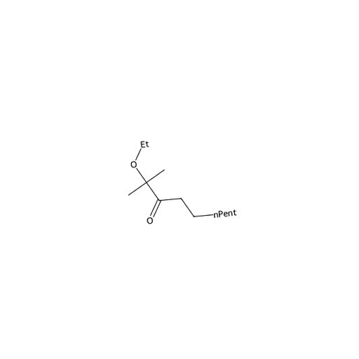 CCCCCCCC(=O)C(C)(C)OCC